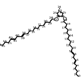 CCCCCC=CCC=CCCCCCCCCCCO[C@@H]1CN(C)C[C@H]1OCCCCCCCCCCC=CCC=CCCCCC